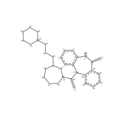 O=C1Nc2ccccc2N(C(=O)N2CCCCC(CCCN3CCCCC3)C2)c2ncccc21